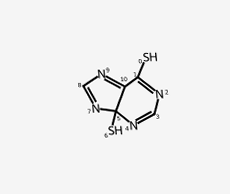 SC1=NC=NC2(S)N=CN=C12